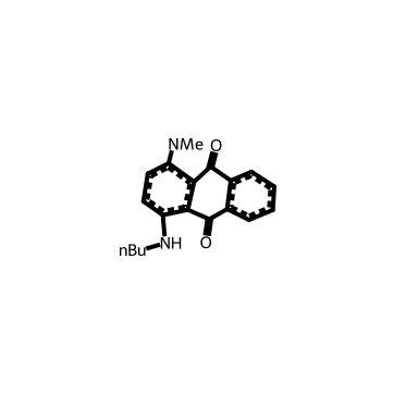 CCCCNc1ccc(NC)c2c1C(=O)c1ccccc1C2=O